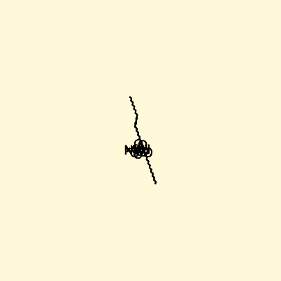 CCCCCCCCCCC#CC#CCCCCCCCCC(=O)O[C@H](COC(=O)CCCCCCCCCCCCCCC)COP(=O)(O)OCC[N+](C)(C)C